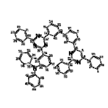 c1ccc(-c2cc(-c3cccc(-c4cccc(-c5nc(-c6ccccc6)nc(-c6cccc7c6c6ccccc6n7-c6ccccc6)n5)c4)c3)nc(-c3ccccc3)n2)cc1